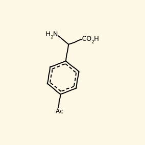 CC(=O)c1ccc(C(N)C(=O)O)cc1